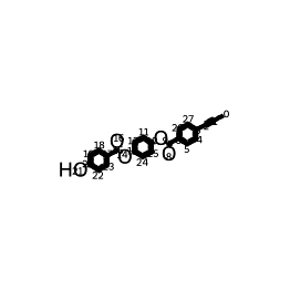 CC#Cc1ccc(C(=O)Oc2ccc(OC(=O)c3ccc(O)cc3)cc2)cc1